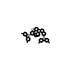 Cc1ccc2c(c1)c1cc(C)ccc1n2-c1ccc2c(c1)oc1ccc3c(c12)C1(c2c-3ccc3ccc(-n4c5ccc(C)cc5c5cc(C)ccc54)cc23)C2CC3CC(C2)CC1C3